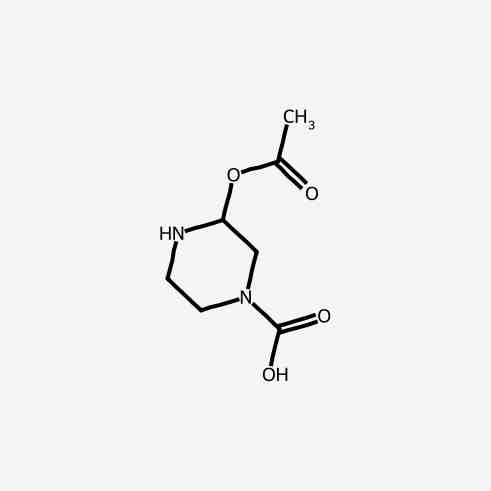 CC(=O)OC1CN(C(=O)O)CCN1